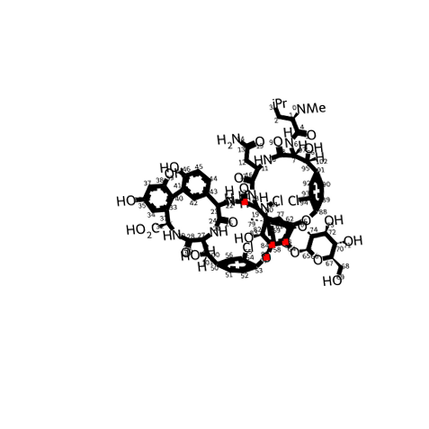 CN[C@H](CC(C)C)C(=O)N[C@H]1C(=O)NC(CC(N)=O)C(=O)N[C@H]2C(=O)N[C@H]3C(=O)N[C@H](C(=O)N[C@@H](C(=O)O)c4cc(O)cc(O)c4-c4cc3ccc4O)[C@H](O)c3ccc(c(Cl)c3)Oc3cc2cc(c3O[C@@H]2O[C@H](CO)[C@@H](O)[C@H](O)[C@H]2O[C@H]2C[C@](C)(NCl)[C@H](O)[C@H](C)O2)Oc2ccc(cc2Cl)[C@H]1O